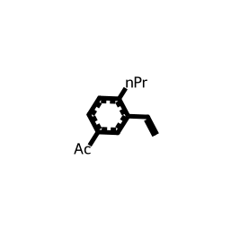 C=Cc1cc(C(C)=O)ccc1CCC